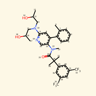 Cc1ccccc1-c1cc(N(CC(C)O)CC(C)O)ncc1N(C)C(=O)C(C)(C)c1cc(C(F)(F)F)cc(C(F)(F)F)c1